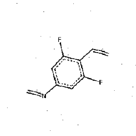 C=Cc1c(F)cc(N=C)cc1F